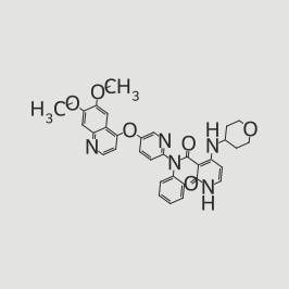 COc1cc2nccc(Oc3ccc(N(C(=O)c4c(NC5CCOCC5)cc[nH]c4=O)c4ccccc4)nc3)c2cc1OC